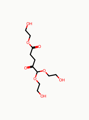 O=C(CCC(=O)C(OCCO)OCCO)OCCO